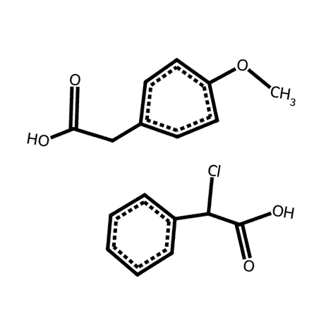 COc1ccc(CC(=O)O)cc1.O=C(O)C(Cl)c1ccccc1